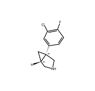 Fc1ccc([C@]23CNC[C@@H]2C3)cc1Cl